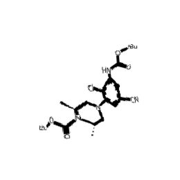 C[C@H]1CN(c2cc(C#N)cc(NC(=O)OC(C)(C)C)c2Cl)C[C@H](C)N1C(=O)OC(C)(C)C